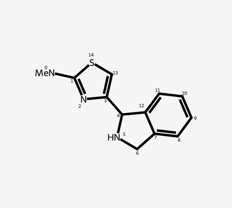 CNc1nc(C2NCc3ccccc32)cs1